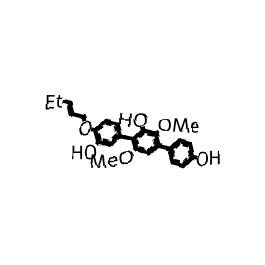 CC/C=C/COc1ccc(-c2c(OC)cc(-c3ccc(O)cc3)c(OC)c2O)cc1O